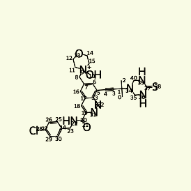 CC(C)(C#Cc1cc(C[N+]2(O)CCOCC2)cc2cc(C(=O)NCc3ccc(Cl)cc3)nnc12)N1CNC(=S)NC1